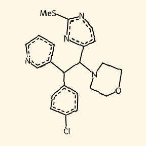 CSc1nccc(C(C(c2ccc(Cl)cc2)c2cccnc2)N2CCOCC2)n1